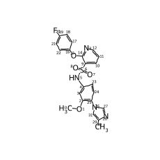 COc1cc(NS(=O)(=O)c2cccnc2Oc2ccc(F)cc2)ccc1-n1cnc(C)c1